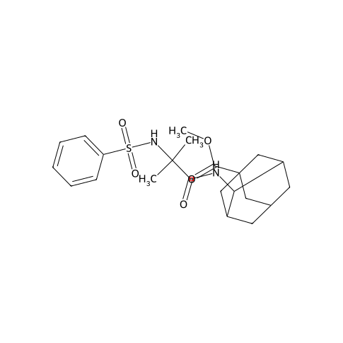 COC(=O)C12CC3CC(C1)C(NC(=O)C(C)(C)NS(=O)(=O)c1ccccc1)C(C3)C2